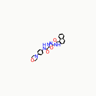 O=C(Nc1ccc(N2CCOCC2)cc1)c1nnc(NC(=O)c2cccc3ccccc23)o1